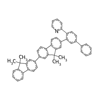 CC1(C)c2ccccc2-c2ccc(-c3ccc4c(c3)C(C)(C)c3cc(-c5cc(-c6ccccc6)ccc5-c5ccccn5)ccc3-4)cc21